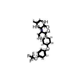 CC1=CNC(=O)/C(=C(/C=N)C(=O)N2CCC(Oc3ccc(OC(F)(F)F)cc3)CC2)N1